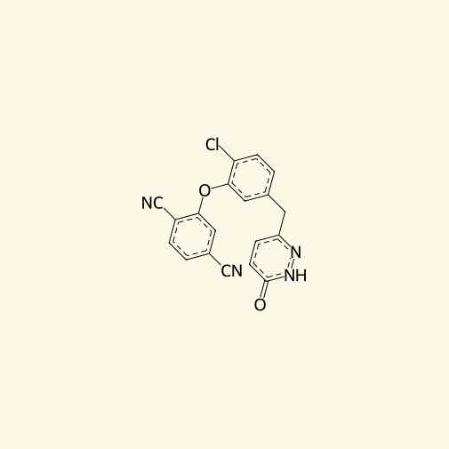 N#Cc1ccc(C#N)c(Oc2cc(Cc3ccc(=O)[nH]n3)ccc2Cl)c1